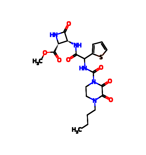 CCCCN1CCN(C(=O)NC(C(=O)N[C@H]2C(=O)N[C@H]2C(=O)OC)c2cccs2)C(=O)C1=O